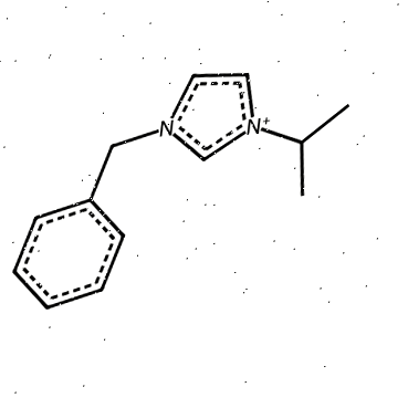 CC(C)[n+]1ccn(Cc2ccccc2)c1